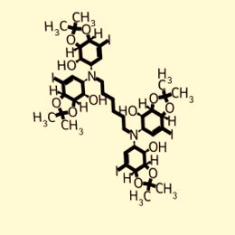 CC1(C)O[C@H]2[C@H](O)[C@@H](N(CCCCCCN([C@H]3C=C(I)[C@H]4OC(C)(C)O[C@H]4[C@@H]3O)[C@H]3C=C(I)[C@H]4OC(C)(C)O[C@H]4[C@@H]3O)[C@H]3C=C(I)[C@H]4OC(C)(C)O[C@H]4[C@@H]3O)C=C(I)[C@H]2O1